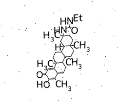 CCNC(=O)N[C@]1(C)CC[C@]2(C)CC[C@@]3(C)C(CC[C@@]4(C)C5=CC(=O)C(O)=C(C)C5=CCC34)[C@@H]2C1